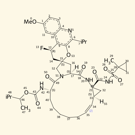 COc1ccc2nc(C(C)C)c3c(c2c1)[C@H](F)C[C@]1(C[C@H]2C(=O)N[C@]4(C(=O)NS(=O)(=O)C5(C)CC5)C[C@H]4/C=C\CCCCC[C@H](NC(=O)OC(C)C(C)C)C(=O)N2C1)O3